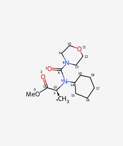 COC(=O)[C@H](C)N(C(=O)N1CCOCC1)C1CCCCC1